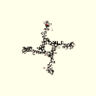 CC1(OC(=O)COC(=O)COc2ccc(C3c4cc(c(O)cc4O)C(c4ccc(OCC(=O)OCC(=O)OC5(C)C6CC7CC(C6)CC5C7)cc4)c4cc(c(O)cc4O)C(c4ccc(OCC(=O)OCC(=O)OC5(C)C6CC7CC(C6)CC5C7)cc4)c4cc(c(O)cc4O)C(c4ccc(OCC(=O)OCC(=O)OC5(C)C6CC7CC(C6)CC5C7)cc4)c4cc3c(O)cc4O)cc2)CC2CCC3CC2CC1C3